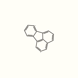 [c]1cc2c3c(cccc3c1)-c1[c]cccc1-2